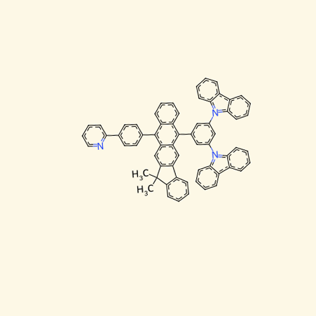 CC1(C)c2ccccc2-c2cc3c(-c4cc(-n5c6ccccc6c6ccccc65)cc(-n5c6ccccc6c6ccccc65)c4)c4ccccc4c(-c4ccc(-c5ccccn5)cc4)c3cc21